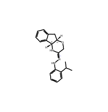 CC(C)c1ccccc1N/N=C1/CO[C@H]2Cc3ccccc3[C@H]2N1